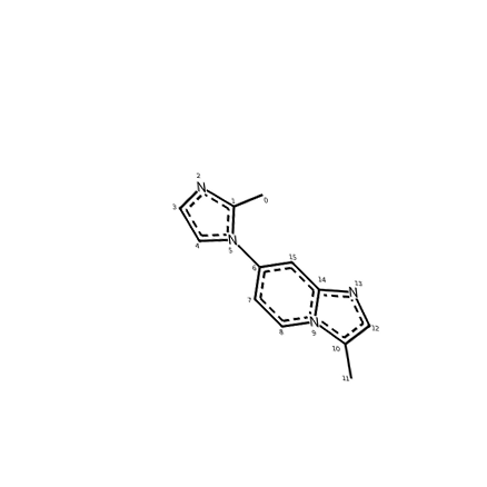 Cc1nccn1-c1ccn2c(C)cnc2c1